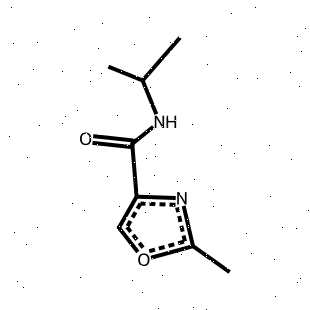 Cc1nc(C(=O)NC(C)C)co1